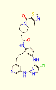 Cc1ncsc1C(=O)N1CCC(CC(=O)Nc2ccc3cc2CCc2cncc(c2)Nc2ncc(Cl)c(n2)N3)CC1